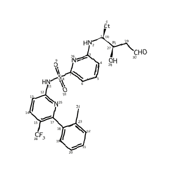 CC[C@H](Nc1cccc(S(=O)(=O)Nc2ccc(C(F)(F)F)c(-c3ccccc3C)n2)n1)[C@H](O)CC=O